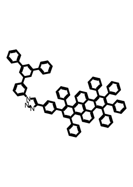 C1=C(c2ccccc2)C=C(c2ccccc2)CC1c1cccc(-n2cc(-c3ccc(-c4cc(-c5ccccc5)c5c6cccc7c8c(-c9ccccc9)c(-c9ccccc9)c(-c9ccccc9)c(-c9ccccc9)c8c8cccc(c5c4-c4ccccc4)c8c67)cc3)nn2)c1